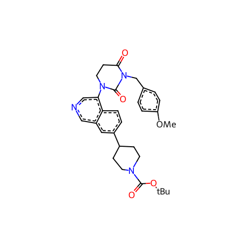 COc1ccc(CN2C(=O)CCN(c3cncc4cc(C5CCN(C(=O)OC(C)(C)C)CC5)ccc34)C2=O)cc1